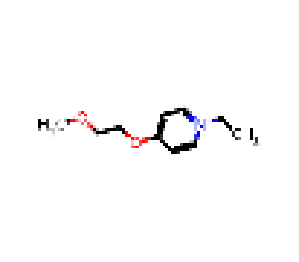 CC[n+]1ccc(OCCOC)cc1